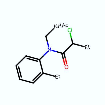 CCc1ccccc1N(CNC(C)=O)C(=O)C(Cl)CC